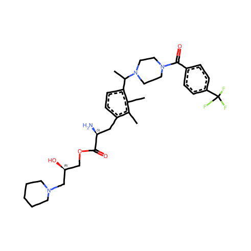 Cc1c(C[C@H](N)C(=O)OC[C@H](O)CN2CCCCC2)ccc(C(C)N2CCN(C(=O)c3ccc(C(F)(F)F)cc3)CC2)c1C